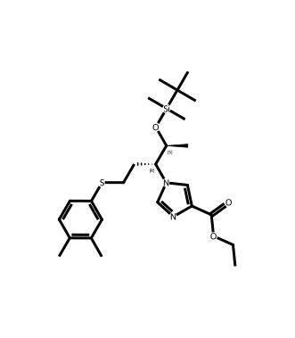 CCOC(=O)c1cn([C@H](CCSc2ccc(C)c(C)c2)[C@H](C)O[Si](C)(C)C(C)(C)C)cn1